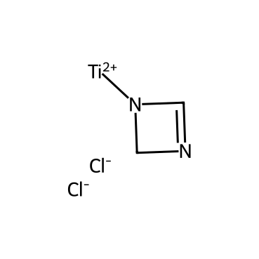 [Cl-].[Cl-].[Ti+2][N]1C=NC1